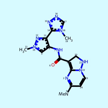 CNC1=NC2=C(C(=O)Nc3cn(C)nc3-c3nncn3C)CNN2C=C1